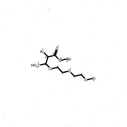 CCOCCOCCOC(C(=O)O)C(C(C)=O)C(=O)OC(C)CC